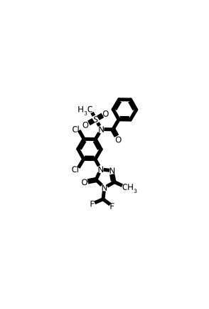 Cc1nn(-c2cc(N(C(=O)c3ccccc3)S(C)(=O)=O)c(Cl)cc2Cl)c(=O)n1C(F)F